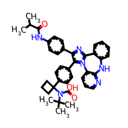 CC(C)C(=O)Nc1ccc(-c2nc3n(c2-c2ccc(C4(N(C(=O)O)C(C)(C)C)CCC4)cc2)-c2cccnc2Nc2ccccc2-3)cc1